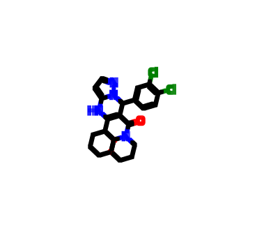 O=C(C1=C(C2CCCCC2)Nc2ccnn2C1c1ccc(Cl)c(Cl)c1)N1CCCCC1